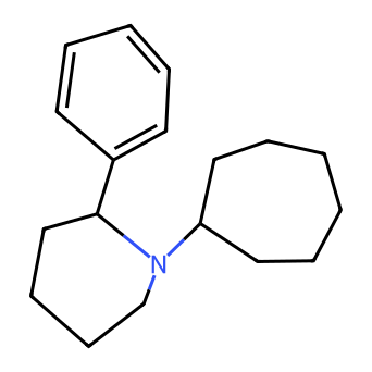 c1ccc(C2CCCCN2C2CCCCCC2)cc1